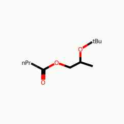 CCCC(=O)OCC(C)OC(C)(C)C